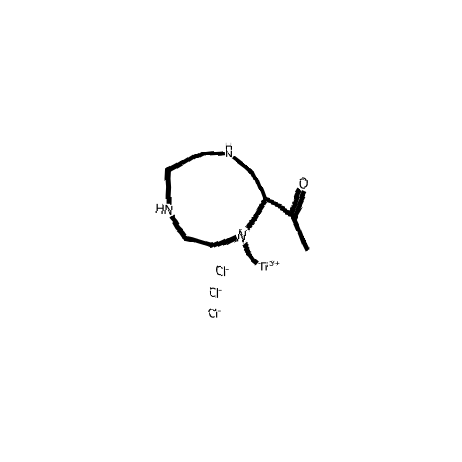 CC(=O)C1CNCCNCC[N]1[Ti+3].[Cl-].[Cl-].[Cl-]